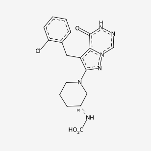 O=C(O)N[C@@H]1CCCN(c2nn3cn[nH]c(=O)c3c2Cc2ccccc2Cl)C1